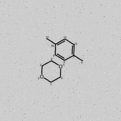 C1COCCO1.Cc1ccc(C)cc1